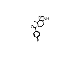 CC1c2nc[nH]c2CCN1C(=O)c1ccc(F)cc1